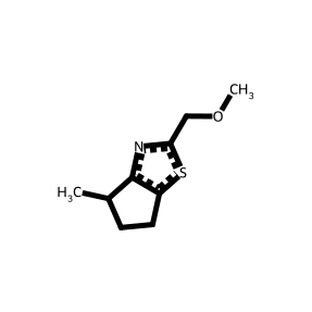 COCc1nc2c(s1)CCC2C